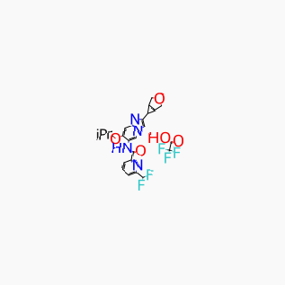 CC(C)Oc1cc2nc(C3C4COCC43)cn2cc1NC(=O)c1cccc(C(F)F)n1.O=C(O)C(F)(F)F